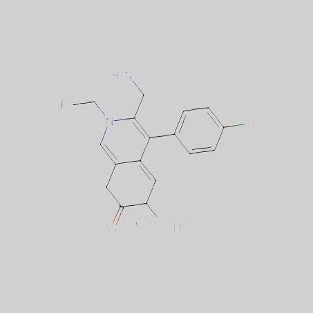 CC(C)CN1C=C2CC(=O)C(C(=O)O)C=C2C(c2ccc(Cl)cc2)=C1CN.Cl